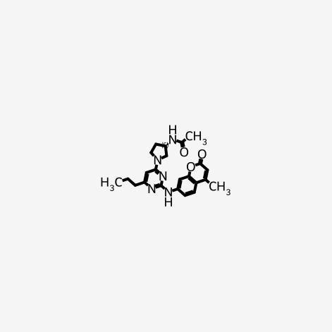 CCCc1cc(N2CC[C@H](NC(C)=O)C2)nc(Nc2ccc3c(C)cc(=O)oc3c2)n1